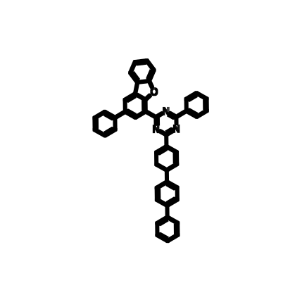 C1=CC(c2ccc(-c3ccccc3)cc2)CC=C1c1nc(-c2ccccc2)nc(-c2cc(-c3ccccc3)cc3c2oc2ccccc23)n1